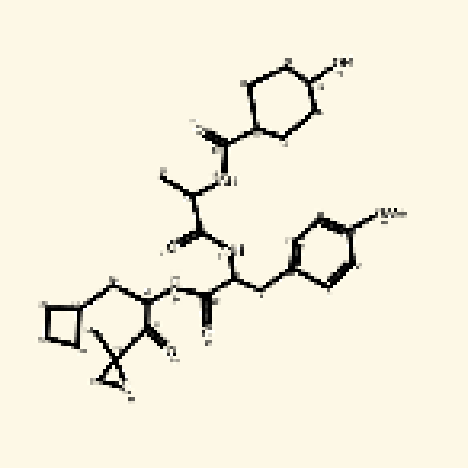 COc1ccc(CC(NC(=O)C(C)NC(=O)C2CCC(O)CC2)C(=O)NC(CC2CCC2)C(=O)C2(C)CO2)cc1